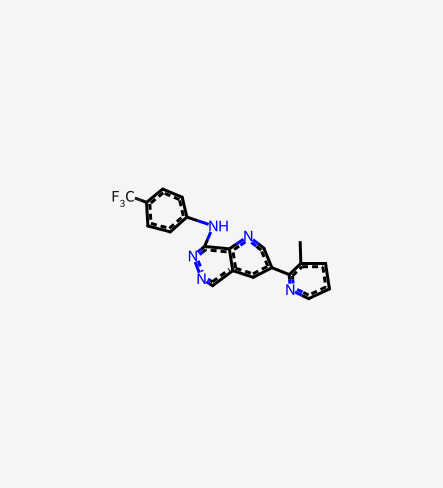 Cc1cccnc1-c1cnc2c(Nc3ccc(C(F)(F)F)cc3)nncc2c1